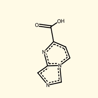 O=C(O)c1ccn2cncc2n1